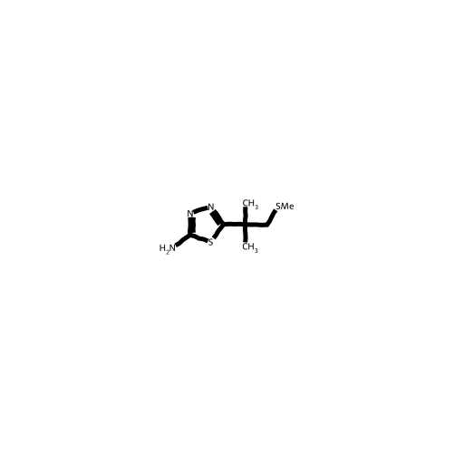 CSCC(C)(C)c1nnc(N)s1